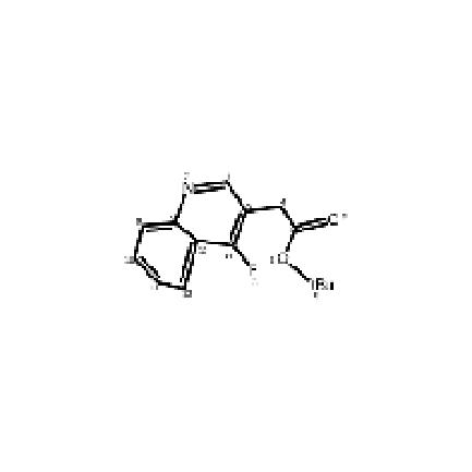 CC(C)(C)OC(=O)Cc1cnc2ccccc2c1F